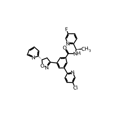 C[C@@H](NC(=O)c1cc(C2=NO[C@H](c3ccccn3)C2)cc(-c2ccc(Cl)cn2)c1)c1ccc(F)cn1